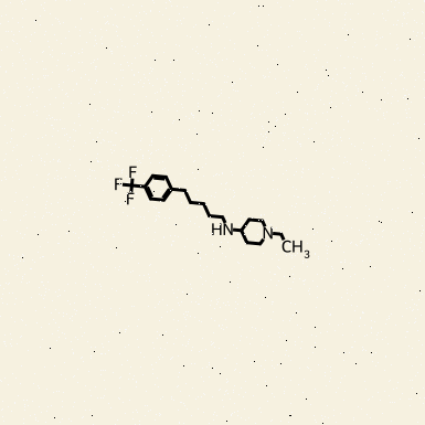 CCN1CCC(NCCCCCc2ccc(C(F)(F)F)cc2)CC1